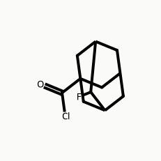 O=C(Cl)C12CC3CC(C1)C(F)C(C3)C2